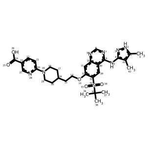 Cc1[nH]nc(Nc2ncnc3cc(OCCC4CCN(c5ccc(C(=O)O)cn5)CC4)c(S(=O)(=O)C(C)(C)C)cc23)c1C